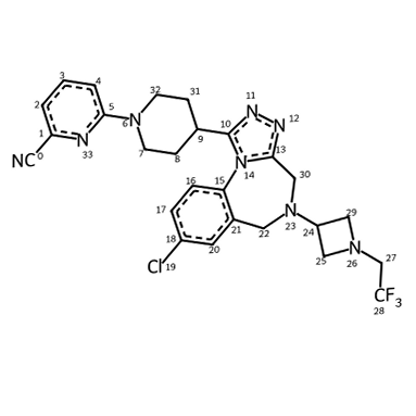 N#Cc1cccc(N2CCC(c3nnc4n3-c3ccc(Cl)cc3CN(C3CN(CC(F)(F)F)C3)C4)CC2)n1